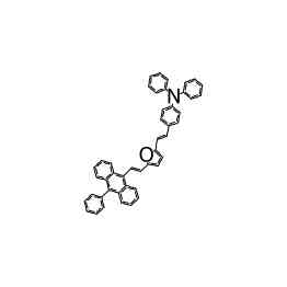 C(=Cc1ccc(C=Cc2c3ccccc3c(-c3ccccc3)c3ccccc23)o1)c1ccc(N(c2ccccc2)c2ccccc2)cc1